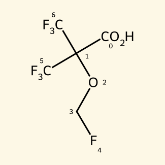 O=C(O)C(OCF)(C(F)(F)F)C(F)(F)F